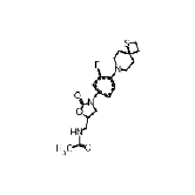 CC(=O)NCC1CN(c2ccc(N3CCC4(CCS4)CC3)c(F)c2)C(=O)O1